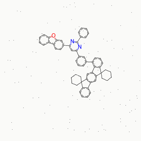 c1ccc(-c2nc(-c3cccc(-c4cccc5c4-c4cc6c(cc4C54CCCCC4)-c4ccccc4C64CCCCC4)c3)cc(-c3ccc4c(c3)oc3ccccc34)n2)cc1